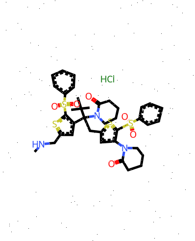 CNCc1cc(C(Cc2cc(N3CCCCC3=O)c(S(=O)(=O)c3ccccc3)s2)(N2CCCCC2=O)C(C)(C)C)c(S(=O)(=O)c2ccccc2)s1.Cl